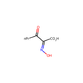 CCCC(=O)C(=NO)C(=O)O